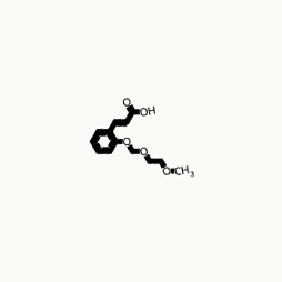 COCCOCOc1ccccc1/C=C/C(=O)O